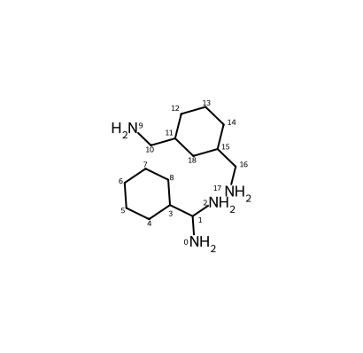 NC(N)C1CCCCC1.NCC1CCCC(CN)C1